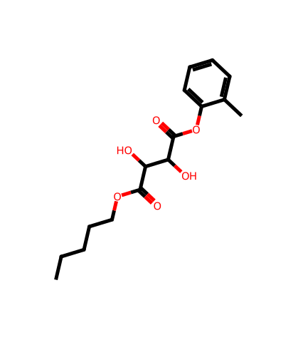 CCCCCOC(=O)C(O)C(O)C(=O)Oc1ccccc1C